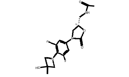 CC(=O)NC[C@H]1CN(c2cc(F)c(N3CC(C)(O)C3)c(F)c2)C(=O)O1